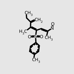 C=C(CC)/C(C)=C(\C=C(/C)N=O)S(=O)(=O)c1ccc(C)cc1